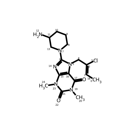 C/C=C(\Cl)Cn1c(N2CCCC(N)C2)nc2c1c(=O)n(C)c(=O)n2C